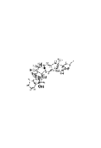 [2H]C([2H])([2H])[C@H](CCC)C([2H])([2H])Oc1ccc([C@@H](NC(=O)[C@](C)(O)c2ccccc2)C(O)(C([2H])([2H])[2H])C([2H])([2H])[2H])cc1